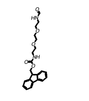 O=CNCCOCCOCCNC(=O)OCC1c2ccccc2-c2ccccc21